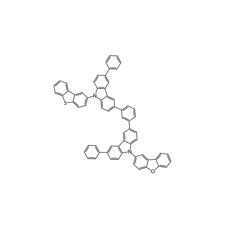 c1ccc(-c2ccc3c(c2)c2cc(-c4cccc(-c5ccc6c(c5)c5cc(-c7ccccc7)ccc5n6-c5ccc6sc7ccccc7c6c5)c4)ccc2n3-c2ccc3oc4ccccc4c3c2)cc1